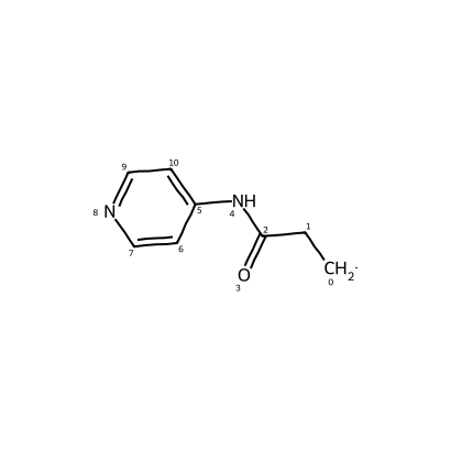 [CH2]CC(=O)Nc1ccncc1